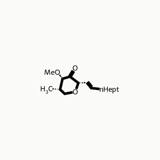 CCCCCCC/C=C/[C@@H]1OC[C@H](C)[C@H](OC)C1=O